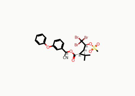 CC1(C)[C@@H]([C@H](OS(C)(=O)=O)C(Br)(Br)Br)[C@H]1C(=O)O[C@@H](C#N)c1cccc(Oc2ccccc2)c1